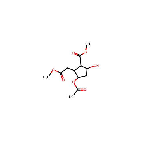 COC(=O)CC1C(OC(C)=O)CC(O)C1C(=O)OC